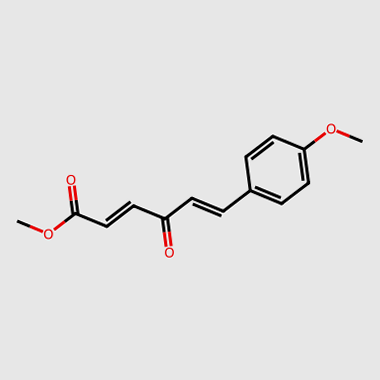 COC(=O)C=CC(=O)C=Cc1ccc(OC)cc1